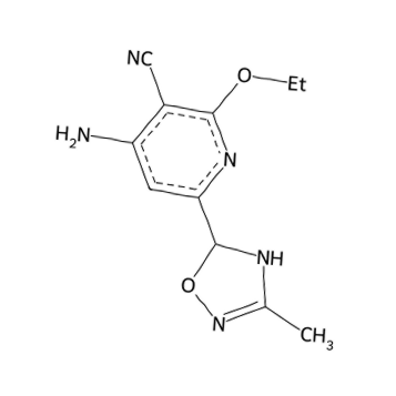 CCOc1nc(C2NC(C)=NO2)cc(N)c1C#N